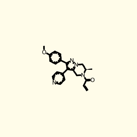 C=CC(=O)N1Cc2c(-c3ccncc3)c(-c3ccc(OC)cc3)nn2C[C@H]1C